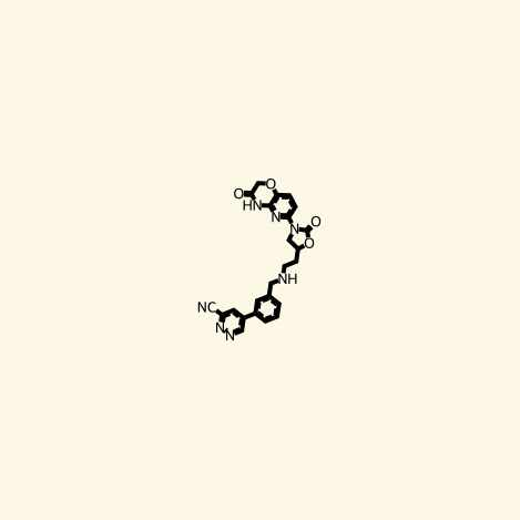 N#Cc1cc(-c2cccc(CNCCC3CN(c4ccc5c(n4)NC(=O)CO5)C(=O)O3)c2)cnn1